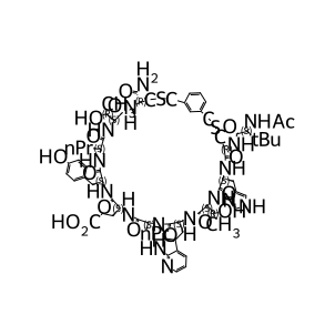 CCC[C@@H]1NC(=O)[C@H](Cc2c[nH]c3ncccc23)NC(=O)[C@H]([C@@H](C)O)NC(=O)[C@H](Cc2c[nH]cn2)NC(=O)[C@@H](NC(=O)[C@@H](NC(C)=O)C(C)(C)C)CSCc2cccc(c2)CSC[C@@H](C(N)=O)NC(=O)[C@H]([C@@H](C)O)NC(=O)[C@H](CCC)NC(=O)[C@H](Cc2ccc(O)cc2)NC(=O)[C@H](CCC(=O)O)NC1=O